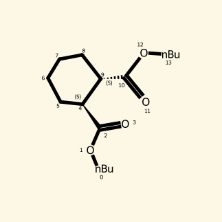 CCCCOC(=O)[C@H]1CCCC[C@@H]1C(=O)OCCCC